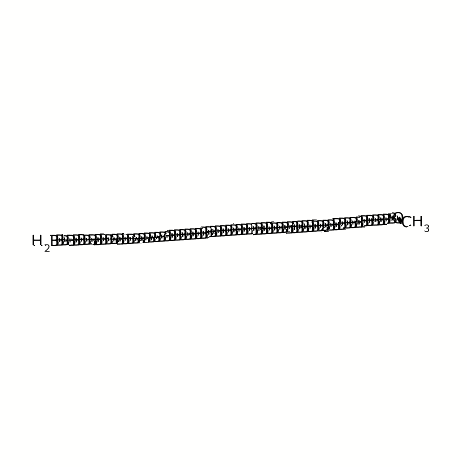 BB=BB=BB=BB=BB=BB=BB=BB=BB=BB=BB=BB=BB=BB=BB=BB=BB=BB=BB=BB=BB=BB=BB=BB=BB=BB=BB=BB=BB=BB=BB=BB=BOCC